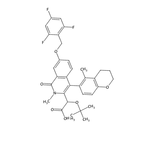 Cc1c(-c2c(C(OC(C)(C)C)C(=O)O)n(C)c(=O)c3cc(OCc4c(F)cc(F)cc4F)ccc23)ccc2c1CCCO2